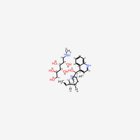 C=C[C@H]1C[N@]2CC[C@H]1C[C@@H]2[C@@H](O)c1ccnc2ccccc12.CNC[C@H](O)[C@@H](O)[C@H](O)[C@H](O)CO